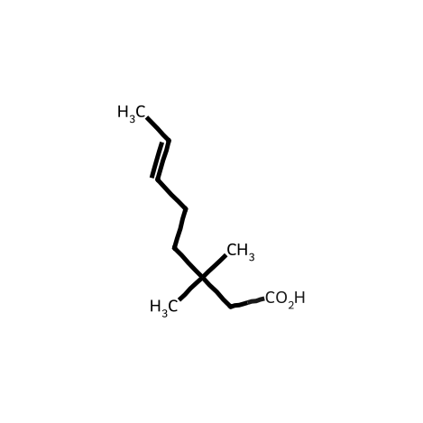 C/C=C/CCC(C)(C)CC(=O)O